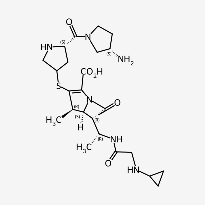 C[C@@H](NC(=O)CNC1CC1)[C@H]1C(=O)N2C(C(=O)O)=C(SC3CN[C@H](C(=O)N4CC[C@H](N)C4)C3)[C@H](C)[C@H]12